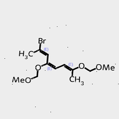 COCO/C(C)=C/C=C(\C=C(/C)Br)OCOC